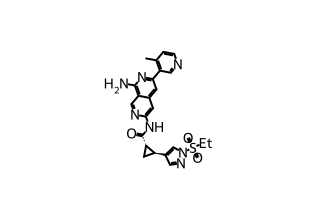 CCS(=O)(=O)n1cc([C@H]2C[C@@H]2C(=O)Nc2cc3cc(-c4cnccc4C)nc(N)c3cn2)cn1